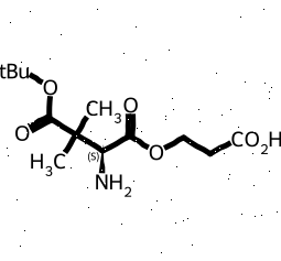 CC(C)(C)OC(=O)C(C)(C)[C@H](N)C(=O)OCCC(=O)O